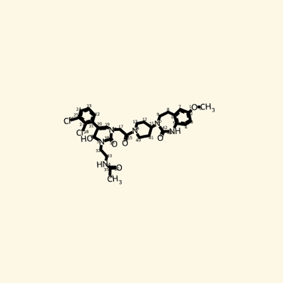 COc1ccc2c(c1)CCN(C1CCN(C(=O)CN3C=C(c4cccc(Cl)c4Cl)C(O)N(CCNC(C)=O)C3=O)CC1)C(=O)N2